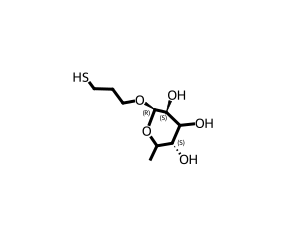 CC1O[C@@H](OCCCS)[C@@H](O)C(O)[C@@H]1O